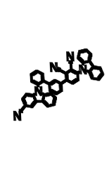 N#Cc1ccc2c(c1)c1ccccc1n2-c1ccccc1-c1cccc(-c2ccc(-n3c4ccccc4c4ccccc43)c(C#N)c2C#N)c1